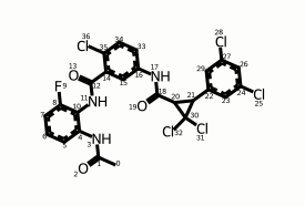 CC(=O)Nc1cccc(F)c1NC(=O)c1cc(NC(=O)C2C(c3cc(Cl)cc(Cl)c3)C2(Cl)Cl)ccc1Cl